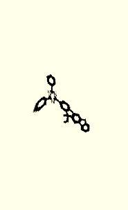 CCC1(C)c2cc(-c3nc(-c4ccccc4)nc(-c4ccccc4)n3)ccc2-c2cc3c(cc21)-c1ccccc1C3